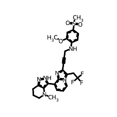 COc1cc(S(C)(=O)=O)ccc1NCC#Cc1nc2c(-c3[nH]nc4c3N(C)CCC4)cccn2c1CC(F)(F)F